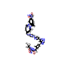 Cc1cc(-c2ncnc3[nH]c(-c4ccc(N5CCN(CC6CCN(c7ccc(N8CCC(=O)NC8=O)cc7)CC6)CC5)nc4)cc23)ccc1C(C)NC(=O)c1noc(C(C)(C)C)n1